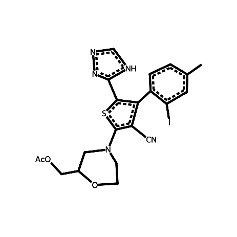 CC(=O)OCC1CN(c2sc(-c3nnc[nH]3)c(-c3ccc(C)cc3I)c2C#N)CCO1